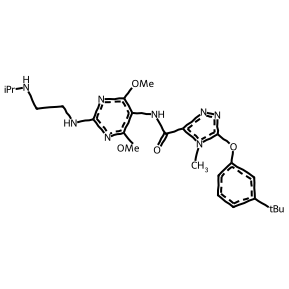 COc1nc(NCCNC(C)C)nc(OC)c1NC(=O)c1nnc(Oc2cccc(C(C)(C)C)c2)n1C